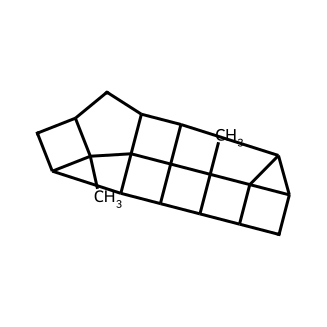 CC12C3CC1C1C4C5C6CC7C8C9C(C3)C12C94C5(C)C768